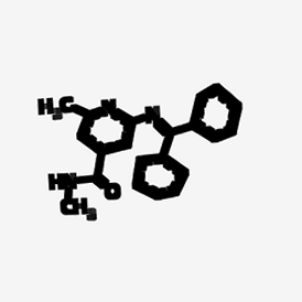 CNC(=O)c1cc(C)nc(N=C(c2ccccc2)c2ccccc2)c1